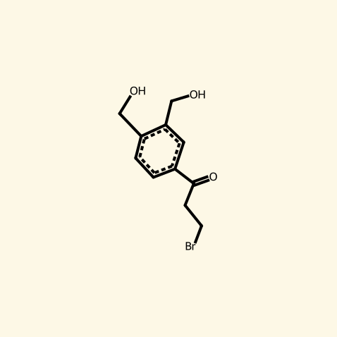 O=C(CCBr)c1ccc(CO)c(CO)c1